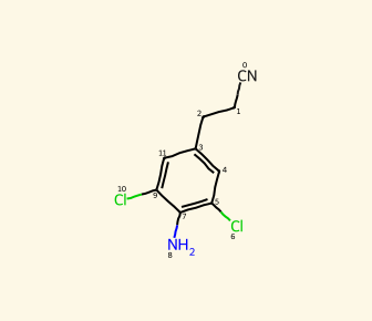 N#CCCc1cc(Cl)c(N)c(Cl)c1